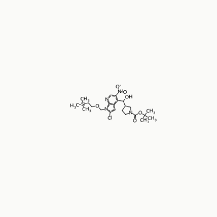 CC(C)(C)OC(=O)N1CCC(C(O)c2c([N+](=O)[O-])cnc3c2cc(Cl)n3COCC[Si](C)(C)C)C1